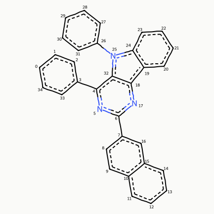 c1ccc(-c2nc(-c3ccc4ccccc4c3)nc3c4ccccc4n(-c4ccccc4)c23)cc1